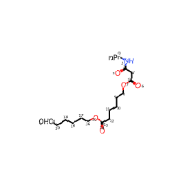 CCCNC(=O)CC(=O)OCCCCCC(=O)OCCCCCC=O